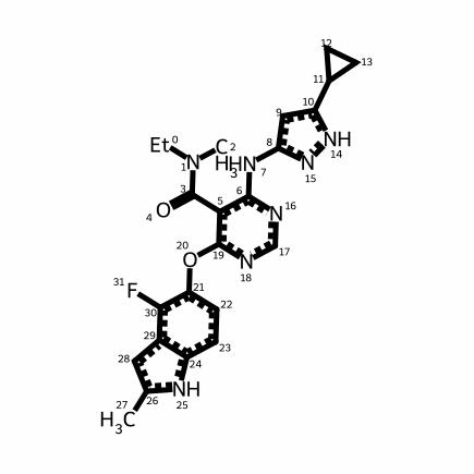 CCN(C)C(=O)c1c(Nc2cc(C3CC3)[nH]n2)ncnc1Oc1ccc2[nH]c(C)cc2c1F